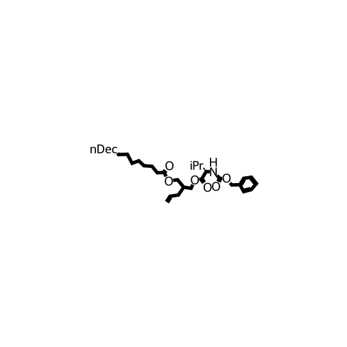 C=CCC(COC(=O)CCCCCCCCCCCCCCCCC)COC(=O)[C@@H](NC(=O)OCc1ccccc1)C(C)C